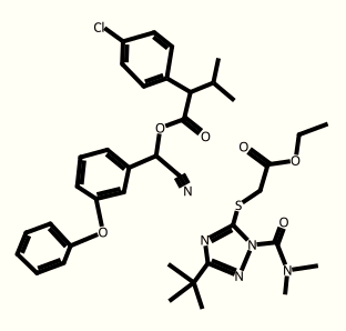 CC(C)C(C(=O)OC(C#N)c1cccc(Oc2ccccc2)c1)c1ccc(Cl)cc1.CCOC(=O)CSc1nc(C(C)(C)C)nn1C(=O)N(C)C